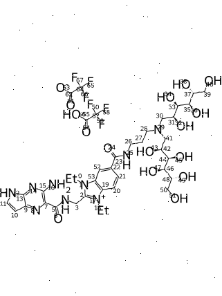 CCn1c(CNC(=O)c2nc3cc[nH]c3nc2N)[n+](CC)c2ccc(C(=O)NCCCN(C[C@H](O)[C@@H](O)[C@H](O)[C@H](O)CO)C[C@H](O)[C@@H](O)[C@H](O)[C@H](O)CO)cc21.O=C(O)C(F)(F)F.O=C([O-])C(F)(F)F